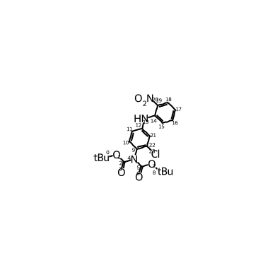 CC(C)(C)OC(=O)N(C(=O)OC(C)(C)C)c1ccc(Nc2ccccc2[N+](=O)[O-])cc1Cl